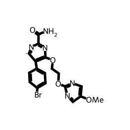 COc1cnc(OCCOc2nc(C(N)=O)n[c]c2-c2ccc(Br)cc2)nc1